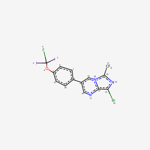 FC(I)(I)Oc1ccc(-c2cnc3c(Br)nc(C(F)(F)F)n3c2)cc1